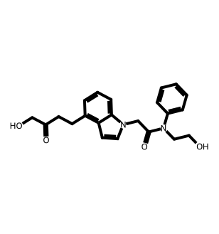 O=C(CO)CCc1cccc2c1ccn2CC(=O)N(CCO)c1ccccc1